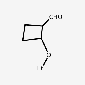 CCOC1CCC1C=O